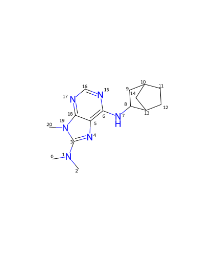 CN(C)c1nc2c(NC3CC4CCC3C4)ncnc2n1C